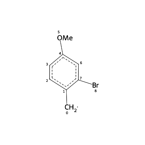 [CH2]c1ccc(OC)cc1Br